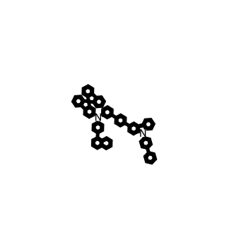 c1ccc(-c2ccc(-n3c4ccccc4c4cc(-c5ccc(-c6cccc(N(c7ccc(-c8cccc9ccccc89)cc7)c7ccc8c(c7)C7(c9ccccc9-c9ccccc97)c7ccccc7-8)c6)cc5)ccc43)cc2)cc1